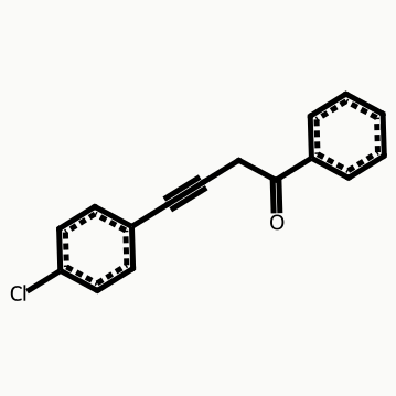 O=C(CC#Cc1ccc(Cl)cc1)c1ccccc1